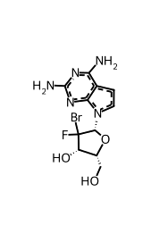 Nc1nc(N)c2ccn([C@@H]3O[C@H](CO)[C@H](O)C3(F)Br)c2n1